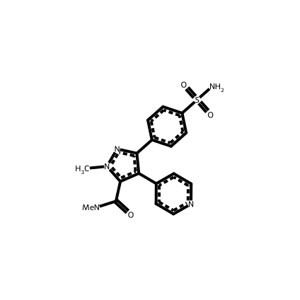 CNC(=O)c1c(-c2ccncc2)c(-c2ccc(S(N)(=O)=O)cc2)nn1C